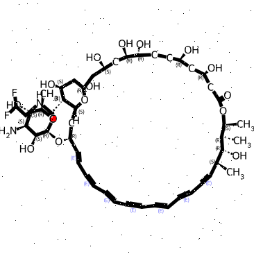 C[C@@H]1[C@H](O)[C@@H](C)/C=C/C=C/C=C/C=C/C=C/C=C/C=C/[C@H](O[C@@H]2O[C@H](C)[C@@H](O)[C@H](N)[C@@H]2O)C[C@@H]2O[C@](O)(C[C@@H](O)C[C@@H](O)[C@H](O)CC[C@@H](O)C[C@@H](O)CC(=O)O[C@H]1C)C[C@H](O)[C@H]2C(=O)NCC(F)F